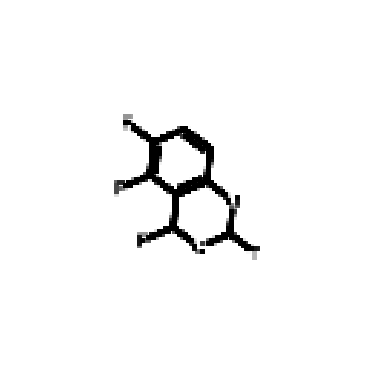 Fc1ccc2c(c1F)C(F)OC(F)O2